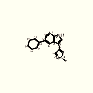 Cn1cc(-c2c[nH]c3ncc(C4CCCCC4)cc23)cn1